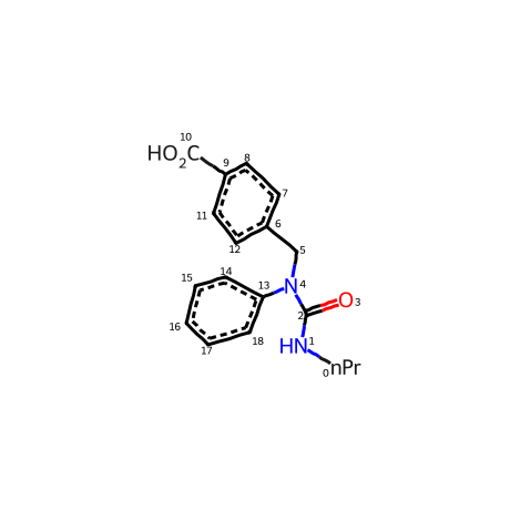 CCCNC(=O)N(Cc1ccc(C(=O)O)cc1)c1ccccc1